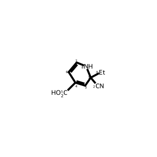 CCC1(C#N)C=C(C(=O)O)C=CN1